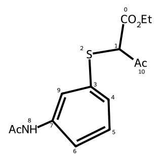 CCOC(=O)C(Sc1cccc(NC(C)=O)c1)C(C)=O